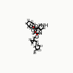 CC(C)(C)OC(=O)N1C2CCC1CN(c1nc(OCC3(CN4CC[C@@H](F)C4)CC3)nc3c1CNC3)C2